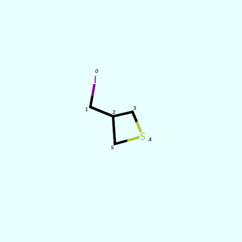 ICC1CSC1